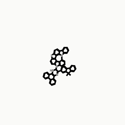 CC1(C)c2ccccc2-c2ccc(C3=Nc4c(c5ccccc5c5ccccc45)NC3n3c4ccc5sc6ccc7c8ccccc8n8c9cccc3c9c4c5c6c78)cc21